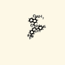 NC(=O)c1ccc(C(=O)NC(Cc2ccc(C(F)(F)F)cc2)C(O)c2ccc(F)cc2)c2ccccc12